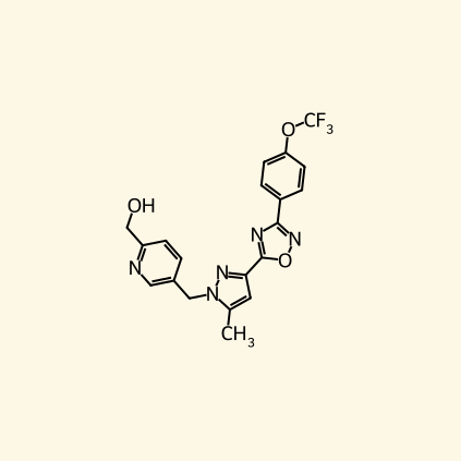 Cc1cc(-c2nc(-c3ccc(OC(F)(F)F)cc3)no2)nn1Cc1ccc(CO)nc1